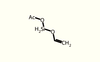 C=CO[SiH2]OC(C)=O